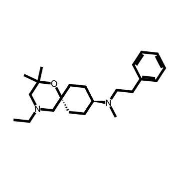 CCN1CC(C)(C)O[C@]2(CC[C@H](N(C)CCc3ccccc3)CC2)C1